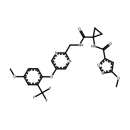 COc1ccc(Oc2cnc(CNC(=O)C3(NC(=O)c4cc(OC)no4)CC3)nc2)c(C(F)(F)F)c1